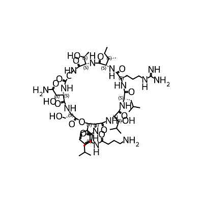 CC[C@H](C)[C@@H]1NC(=O)[C@@H](CCCNC(=N)N)NC(=O)[C@H](CC(C)C)NC(=O)[C@H]([C@H](O)C(C)C)NC(=O)[C@@H](NC(=O)[C@H](CC(C)C)NC(=O)CCCN)[C@@H](c2ccccc2)OC(=O)[C@H](CO)NC(=O)[C@H]([C@H](O)C(N)=O)NC(=O)CNC(=O)[C@H]([C@H](C)O)NC1=O